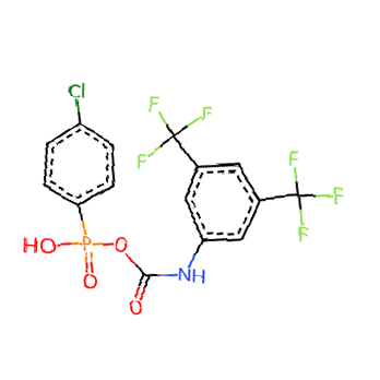 O=C(Nc1cc(C(F)(F)F)cc(C(F)(F)F)c1)OP(=O)(O)c1ccc(Cl)cc1